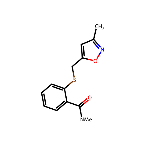 CNC(=O)c1ccccc1SCc1cc(C)no1